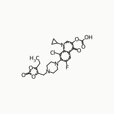 CCc1oc(=O)oc1CN1CCN(c2c(F)cc3c(=O)c(OC(=O)O)cn(C4CC4)c3c2Cl)CC1